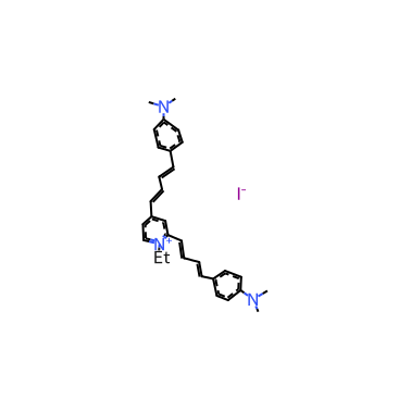 CC[n+]1ccc(C=CC=Cc2ccc(N(C)C)cc2)cc1C=CC=Cc1ccc(N(C)C)cc1.[I-]